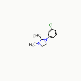 CN1CCN(c2cccc(Cl)c2)C1C=O